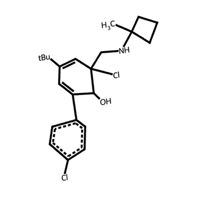 CC1(NCC2(Cl)C=C(C(C)(C)C)C=C(c3ccc(Cl)cc3)C2O)CCC1